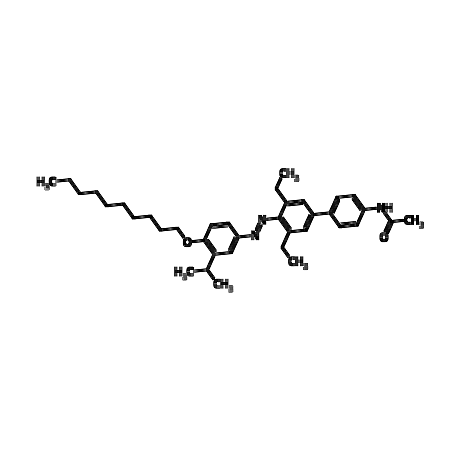 CCCCCCCCCCOc1ccc(/N=N/c2c(CC)cc(-c3ccc(NC(C)=O)cc3)cc2CC)cc1C(C)C